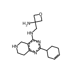 NC1(CNc2nc(C3CC=CCC3)nc3c2CNCC3)COC1